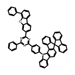 c1ccc(-c2nc(-c3ccc(-n4c5ccccc5c5ccc6c(c54)-c4ccccc4C64c5ccccc5-c5ccccc54)cc3)nc(-c3ccc4c(c3)oc3c(-c5ccccc5)cccc34)n2)cc1